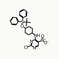 CC(C)(C)[Si](OC1CCC(Nc2nc(Cl)ncc2[N+](=O)[O-])CC1)(c1ccccc1)c1ccccc1